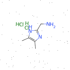 Cc1nc(CN)[nH]c1C.Cl.Cl